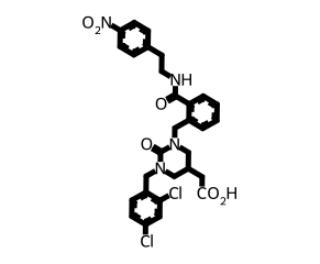 O=C(O)CC1CN(Cc2ccc(Cl)cc2Cl)C(=O)N(Cc2ccccc2C(=O)NCCc2ccc([N+](=O)[O-])cc2)C1